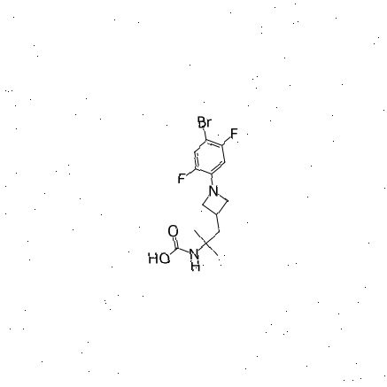 CC(C)(CC1CN(c2cc(F)c(Br)cc2F)C1)NC(=O)O